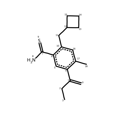 C=C(CC)c1cc(C(N)=S)c(CC2CCC2)cc1C